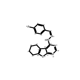 Fc1ccc(/C=N\Nc2ncnc3sc4c(c23)CCCC4)cc1